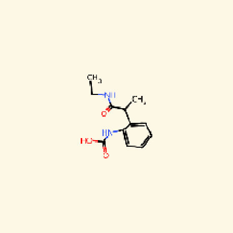 CCNC(=O)C(C)c1ccccc1NC(=O)O